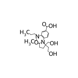 CCCN(CC)c1cc(C(=O)O)ccc1N1C(=O)CCC1(CO)CCO